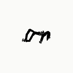 [CH2]CC(=O)NC1CCNC1